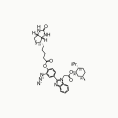 CC(C)[C@@H]1CC[C@@H](C)C[C@H]1OC(=O)Cn1c(-c2ccc(OC(=O)CCCC[C@@H]3SC[C@@H]4NC(=O)N[C@@H]43)c(N=[N+]=[N-])c2)nc2ccccc21